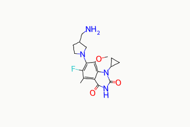 COc1c(N2CCC(CN)C2)c(F)c(C)c2c(=O)[nH]c(=O)n(C3CC3)c12